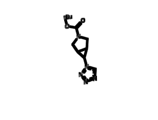 CC(C)(C)OC(=O)N1CC2C(C1)C2n1cnnn1